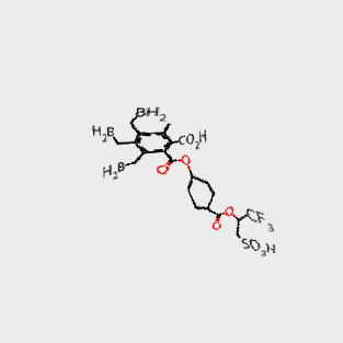 BCc1c(C)c(C(=O)O)c(C(=O)OC2CCC(C(=O)OC(CS(=O)(=O)O)C(F)(F)F)CC2)c(CB)c1CB